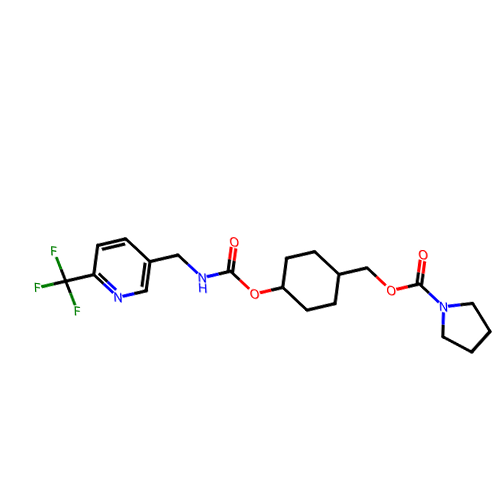 O=C(NCc1ccc(C(F)(F)F)nc1)OC1CCC(COC(=O)N2CCCC2)CC1